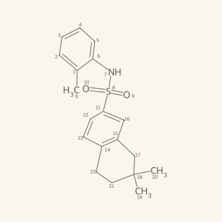 Cc1ccccc1NS(=O)(=O)c1ccc2c(c1)CC(C)(C)CC2